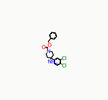 NC1(c2ccc(Cl)c(Cl)c2)CCN(C(=O)OCc2ccccc2)CC1